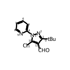 CC(C)(C)c1nn(-c2ccccn2)c(Cl)c1C=O